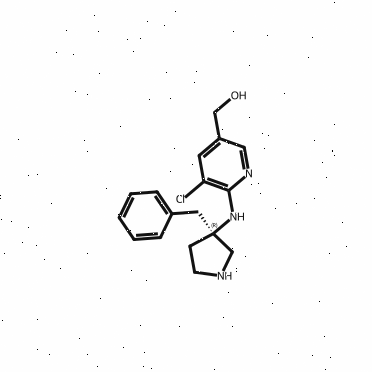 OCc1cnc(N[C@]2(Cc3ccccc3)CCNC2)c(Cl)c1